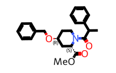 COC(=O)[C@@H]1C[C@H](OCc2ccccc2)CCN1C(=O)C(C)c1ccccc1